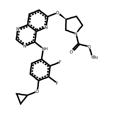 CC(C)(C)OC(=O)N1CC[C@H](Oc2ccc3ncnc(Nc4ccc(OC5CC5)c(F)c4F)c3n2)C1